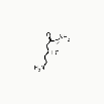 Cl.NCCCCC(=O)ON